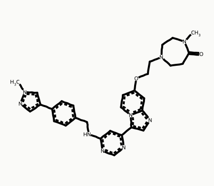 CN1CCN(CCOc2ccn3c(-c4cc(NCc5ccc(-c6cnn(C)c6)cc5)ncn4)cnc3c2)CCC1=O